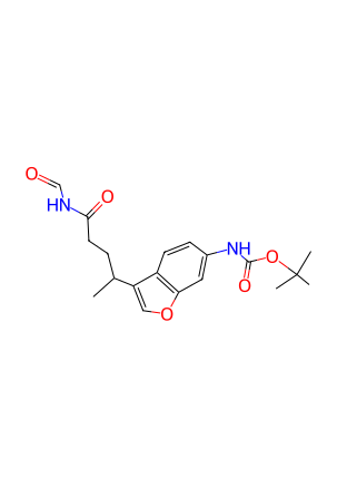 CC(CCC(=O)NC=O)c1coc2cc(NC(=O)OC(C)(C)C)ccc12